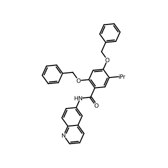 CC(C)c1cc(C(=O)Nc2ccc3ncccc3c2)c(OCc2ccccc2)cc1OCc1ccccc1